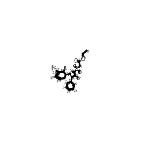 CCOC(=O)CS(=O)(=O)c1nn(-c2cccc(F)c2F)c(-c2ccccc2)c1Br